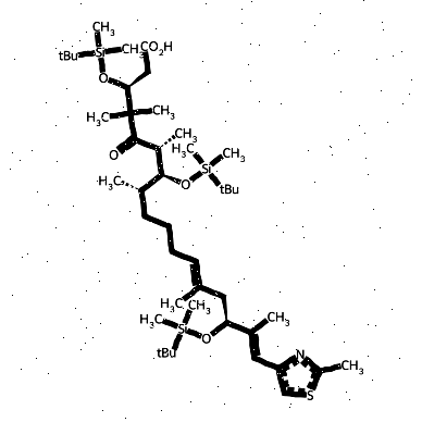 C/C(=C\CCC[C@H](C)[C@H](O[Si](C)(C)C(C)(C)C)[C@@H](C)C(=O)C(C)(C)[C@H](CC(=O)O)O[Si](C)(C)C(C)(C)C)C[C@H](O[Si](C)(C)C(C)(C)C)/C(C)=C/c1csc(C)n1